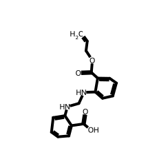 C=CCOC(=O)c1ccccc1NCNc1ccccc1C(=O)O